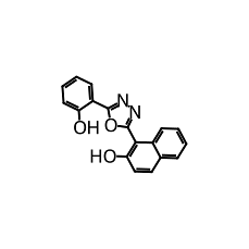 Oc1ccccc1-c1nnc(-c2c(O)ccc3ccccc23)o1